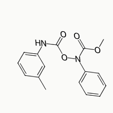 COC(=O)N(OC(=O)Nc1cccc(C)c1)c1ccccc1